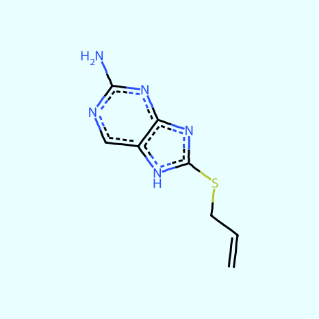 C=CCSc1nc2nc(N)ncc2[nH]1